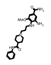 COc1cc(C(N)=O)cc(N)c1NCCCN1CCC(C(=O)Nc2ccccc2)CC1